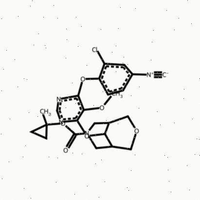 [C-]#[N+]c1ccc(Oc2ncnc(OC3C4COCC3CN(C(=O)OC3(C)CC3)C4)c2OC)c(Cl)c1